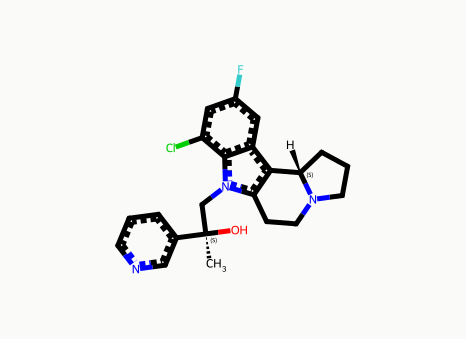 C[C@@](O)(Cn1c2c(c3cc(F)cc(Cl)c31)[C@@H]1CCCN1CC2)c1cccnc1